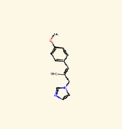 CC(C)(C)Oc1ccc(/C=C(\C=O)Cn2ccnc2)cc1